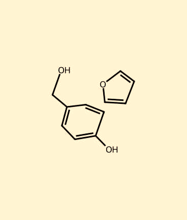 OCc1ccc(O)cc1.c1ccoc1